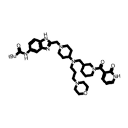 CC(C)(C)C(=O)Nc1ccc2[nH]c(CN3CCC(N(CCCN4CCOCC4)CC4CCCN(C(=O)c5ccc[nH]c5=O)C4)CC3)nc2c1